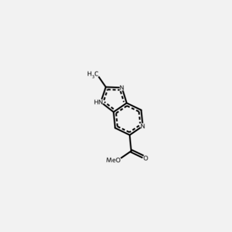 COC(=O)c1cc2[nH]c(C)nc2cn1